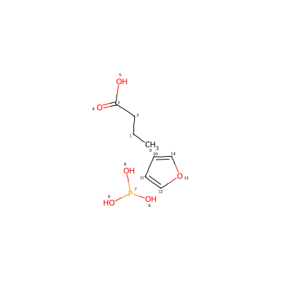 CCCC(=O)O.OP(O)O.c1ccoc1